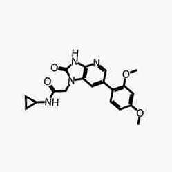 COc1ccc(-c2cnc3[nH]c(=O)n(CC(=O)NC4CC4)c3c2)c(OC)c1